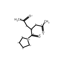 CC(=O)CC(CC(C)=O)C(=O)N1CCCC1